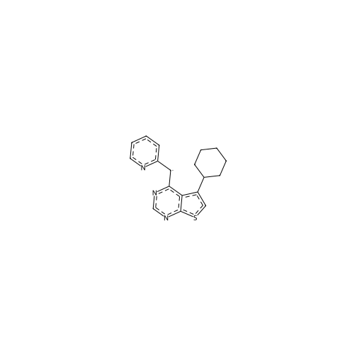 [CH](c1ccccn1)c1ncnc2scc(C3CCCCC3)c12